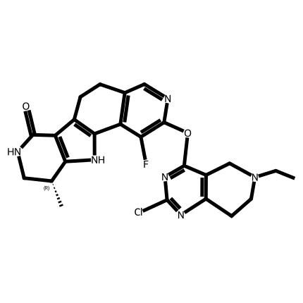 CCN1CCc2nc(Cl)nc(Oc3ncc4c(c3F)-c3[nH]c5c(c3CC4)C(=O)NC[C@H]5C)c2C1